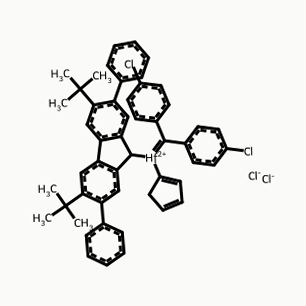 CC(C)(C)c1cc2c(cc1-c1ccccc1)[CH]([Hf+2]([C]1=CC=CC1)=[C](c1ccc(Cl)cc1)c1ccc(Cl)cc1)c1cc(-c3ccccc3)c(C(C)(C)C)cc1-2.[Cl-].[Cl-]